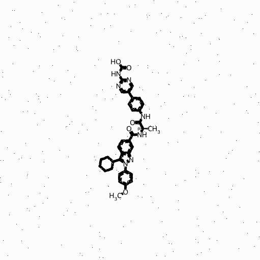 COc1ccc(-n2nc3cc(C(=O)N[C@H](C)C(=O)Nc4ccc(-c5cnc(NC(=O)O)nc5)cc4)ccc3c2C2CCCCC2)cc1